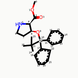 COC(=O)[C@@H]1NCC[C@@H]1O[Si](c1ccccc1)(c1ccccc1)C(C)(C)C